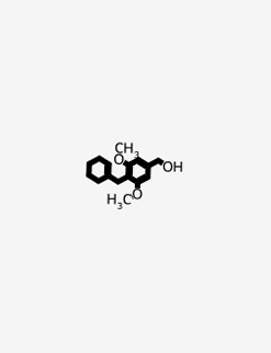 COc1cc(CO)cc(OC)c1CC1=CCCCC1